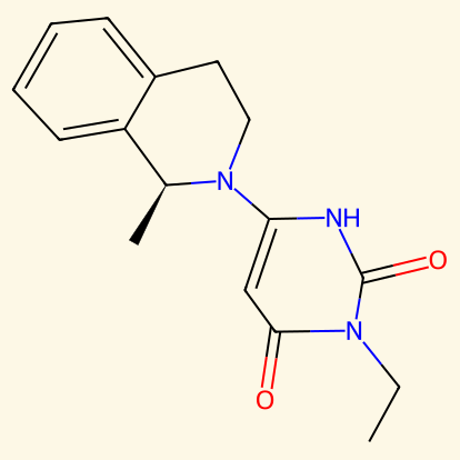 CCn1c(=O)cc(N2CCc3ccccc3[C@@H]2C)[nH]c1=O